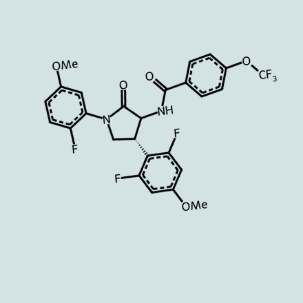 COc1cc(F)c([C@@H]2CN(c3cc(OC)ccc3F)C(=O)C2NC(=O)c2ccc(OC(F)(F)F)cc2)c(F)c1